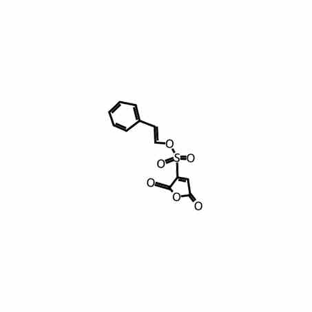 O=C1C=C(S(=O)(=O)OC=Cc2ccccc2)C(=O)O1